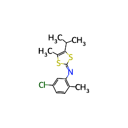 Cc1ccc(Cl)cc1N=c1sc(C)c(C(C)C)s1